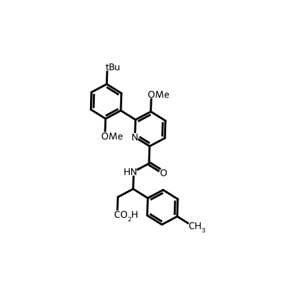 COc1ccc(C(C)(C)C)cc1-c1nc(C(=O)NC(CC(=O)O)c2ccc(C)cc2)ccc1OC